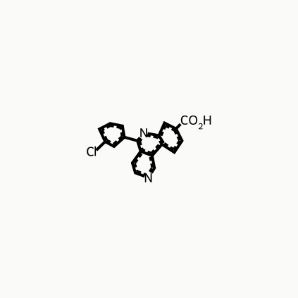 O=C(O)c1ccc2c(c1)nc(-c1cccc(Cl)c1)c1ccncc12